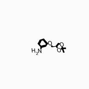 CC1(C)OC[C@H](COc2cccc(N)c2)O1